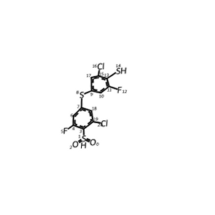 O=[SH](=O)c1c(F)cc(Sc2cc(F)c(S)c(Cl)c2)cc1Cl